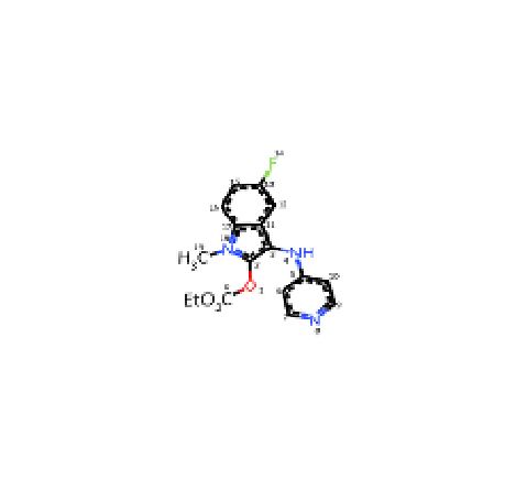 CCOC(=O)Oc1c(Nc2ccncc2)c2cc(F)ccc2n1C